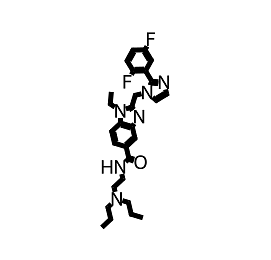 CCCN(CCC)CCNC(=O)c1ccc2c(c1)nc(Cn1ccnc1-c1cc(F)ccc1F)n2CC